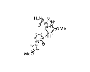 CNc1cc(Nc2cccn([C@H]3C[C@H](OC)C3)c2=O)nc2c(C(N)=O)cnn12